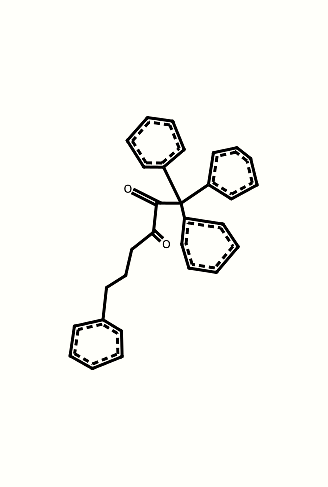 O=C(CCCc1ccccc1)C(=O)C(c1ccccc1)(c1ccccc1)c1ccccc1